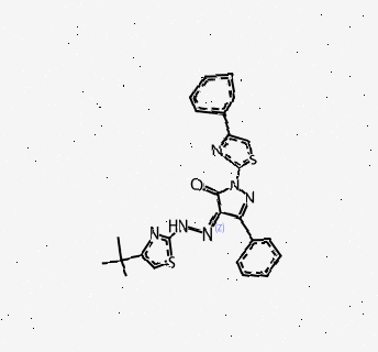 CC(C)(C)c1csc(N/N=C2\C(=O)N(c3nc(-c4ccccc4)cs3)N=C2c2ccccc2)n1